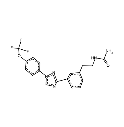 NC(=O)NCCc1cccc(-c2ncn(-c3ccc(OC(F)(F)F)cc3)n2)c1